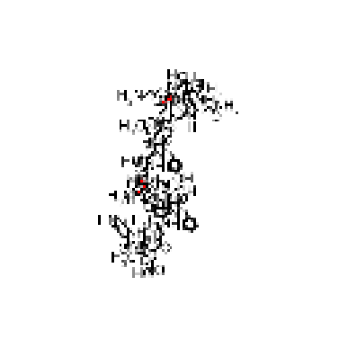 CC(C)C[C@H](NC(=O)[C@H](Cc1ccc(O)cc1)NC(=O)[C@H](CO)NC(=O)[C@H](CO)NC(=O)[C@@H](NC(=O)[C@H](CC(=O)O)NC(=O)[C@H](CO)NC(=O)[C@H](Cc1ccccc1)NC(=O)[C@@H](NC(=O)CNC(=O)[C@H](CCC(=O)O)NC(=O)[C@H](C)NC(=O)[C@@H](N)Cc1c[nH]cn1)[C@@H](C)O)C(C)C)C(=O)N[C@@H](CCC(=O)O)C(=O)NCC(=O)N[C@@H](CCC(N)=O)C(=O)N[C@@H](C)C(=O)N[C@@H](C)C(=O)N[C@@H](CCCCN)C(=O)O